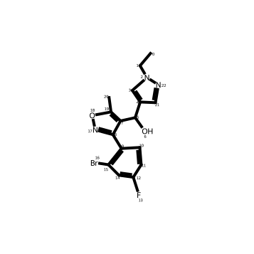 CCn1cc(C(O)c2c(-c3ccc(F)cc3Br)noc2C)cn1